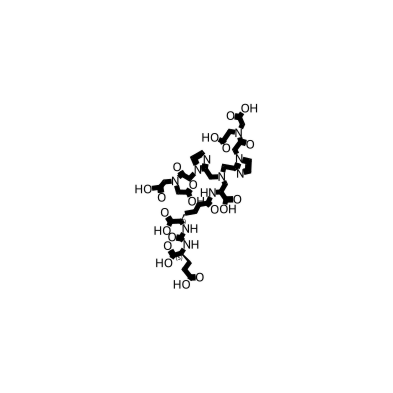 O=C(O)CC[C@H](NC(=O)N[C@@H](CCCC(=O)NC(CN(Cc1nccn1CC(=O)N(CC(=O)O)CC(=O)O)Cc1nccn1CC(=O)N(CC(=O)O)CC(=O)O)C(=O)O)C(=O)O)C(=O)O